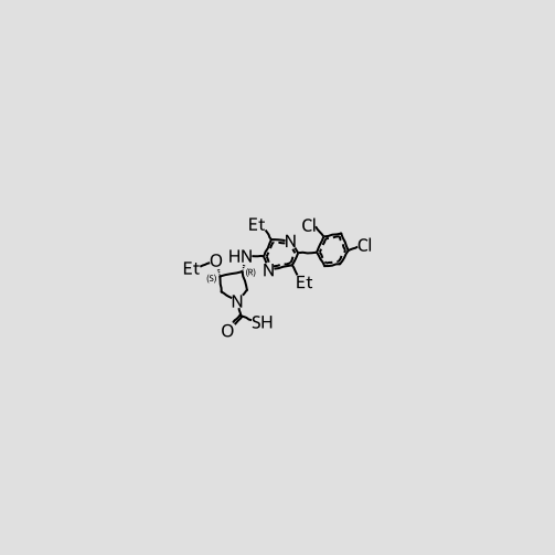 CCO[C@H]1CN(C(=O)S)C[C@H]1Nc1nc(CC)c(-c2ccc(Cl)cc2Cl)nc1CC